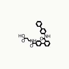 O=C(O)CCNC(=O)c1ccc(-c2ccccc2C(=O)Nc2ccc(-c3ccccc3)cc2)cc1